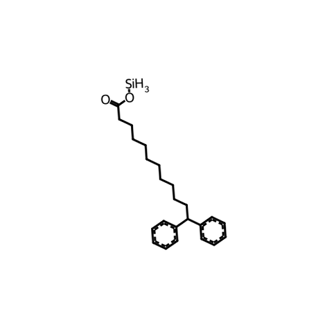 O=C(CCCCCCCCCCC(c1ccccc1)c1ccccc1)O[SiH3]